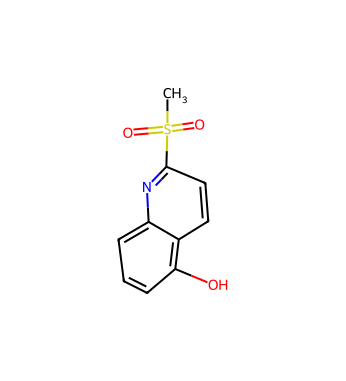 CS(=O)(=O)c1ccc2c(O)cccc2n1